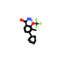 Cc1c(-c2ccccc2)ccc(C(N)=O)c1OC(F)(F)F